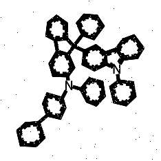 c1ccc(-c2ccc(N(c3ccccc3)c3ccc4c(c3)C(c3ccccc3)(c3ccc5c(c3)c3ccccc3n5-c3ccccc3)c3ccccc3-4)cc2)cc1